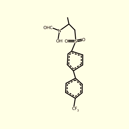 CC(CS(=O)(=O)c1ccc(-c2ccc(C(F)(F)F)cc2)cc1)N(O)C=O